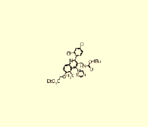 CCOC(=O)COc1ccc2nc(-c3ccc(Cl)cc3Cl)c(CNC(=O)OC(C)(C)C)c(-n3cncn3)c2c1C